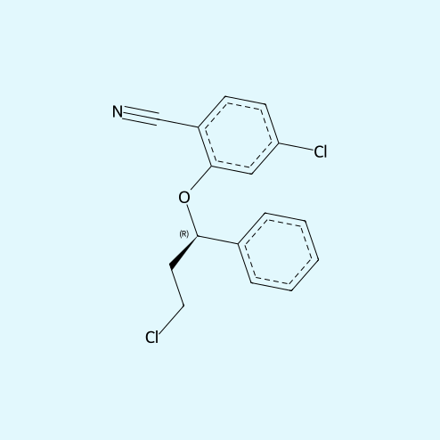 N#Cc1ccc(Cl)cc1O[C@H](CCCl)c1ccccc1